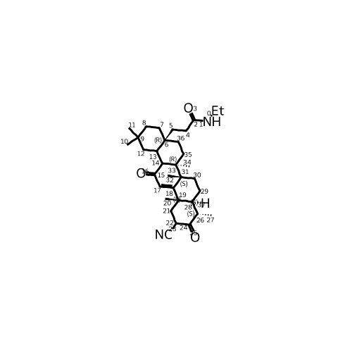 CCNC(=O)CC[C@]12CCC(C)(C)CC1C1C(=O)C=C3[C@@]4(C)CC(C#N)C(=O)[C@@H](C)[C@@H]4CC[C@@]3(C)[C@]1(C)CC2